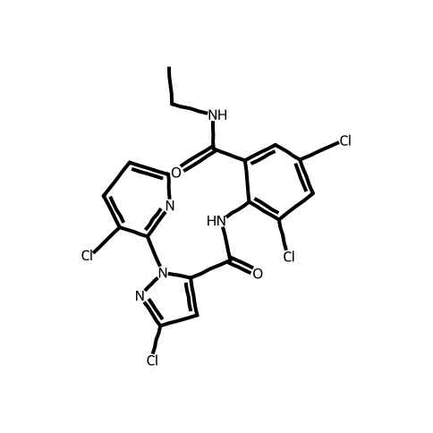 CCNC(=O)c1cc(Cl)cc(Cl)c1NC(=O)c1cc(Cl)nn1-c1ncccc1Cl